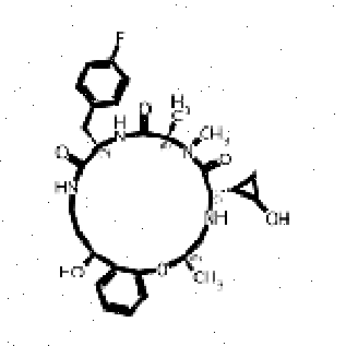 C[C@@H]1CN[C@@H](C2CC2O)C(=O)N(C)[C@H](C)C(=O)N[C@H](Cc2ccc(F)cc2)C(=O)NCCC(O)c2ccccc2O1